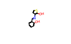 Oc1ccccc1/C=N/c1ccsc1O